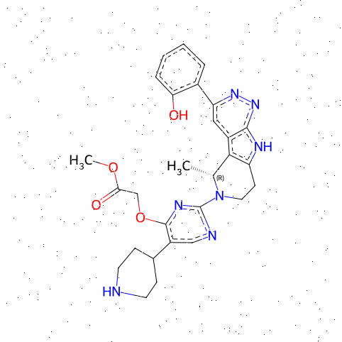 COC(=O)COc1nc(N2CCc3[nH]c4nnc(-c5ccccc5O)cc4c3[C@H]2C)ncc1C1CCNCC1